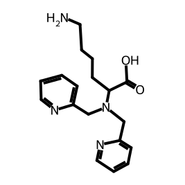 NCCCCC(C(=O)O)N(Cc1ccccn1)Cc1ccccn1